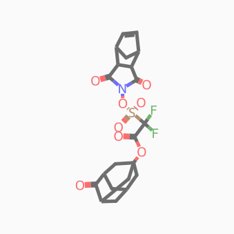 O=C1C2CC3CC1CC(OC(=O)C(F)(F)S(=O)(=O)ON1C(=O)C4C5C=CC(C5)C4C1=O)(C3)C2